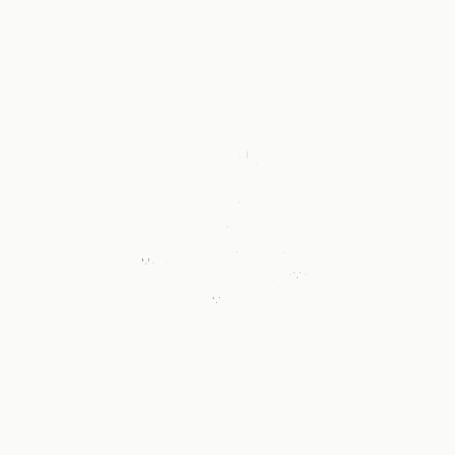 C=C(C)C(=O)OC(CC(=O)OC)(CC(=O)OC)C(=O)OC